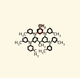 C=C(c1cc(N(c2cccc(C)c2)c2cccc(C)c2)cc(N(c2cccc(C)c2)c2cccc(C)c2)c1)c1cc(N(c2cccc(C)c2)c2cccc(C)c2)cc(N(c2cccc(C)c2)c2cccc(C)c2)c1